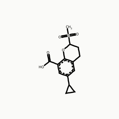 CS(=O)(=O)C1CCc2cc(C3CC3)cc(C(=O)O)c2O1